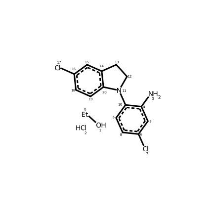 CCO.Cl.Nc1cc(Cl)ccc1N1CCc2cc(Cl)ccc21